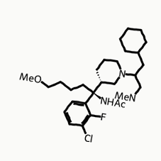 CNCC(CC1CCCCC1)N1CCC[C@@H]([C@](CCCCOC)(NC(C)=O)c2cccc(Cl)c2F)C1